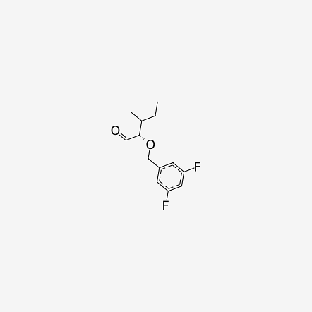 CCC(C)[C@@H](C=O)OCc1cc(F)cc(F)c1